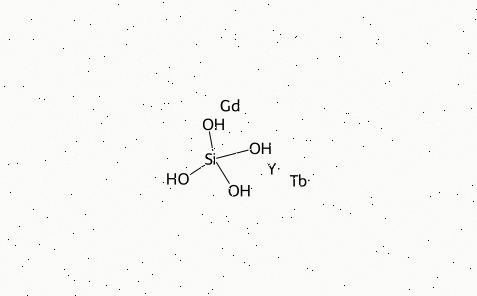 O[Si](O)(O)O.[Gd].[Tb].[Y]